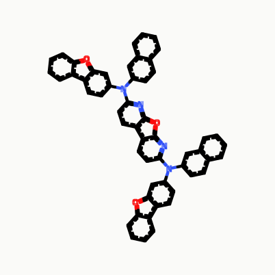 c1ccc2cc(N(c3ccc4c(c3)oc3ccccc34)c3ccc4c(n3)oc3nc(N(c5ccc6ccccc6c5)c5ccc6c(c5)oc5ccccc56)ccc34)ccc2c1